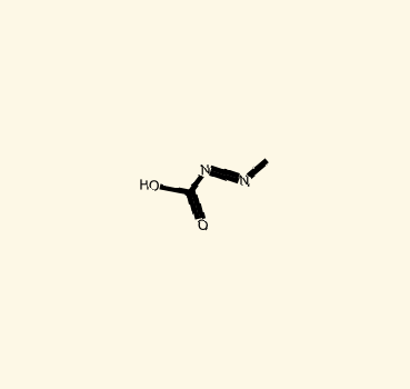 CN=NC(=O)O